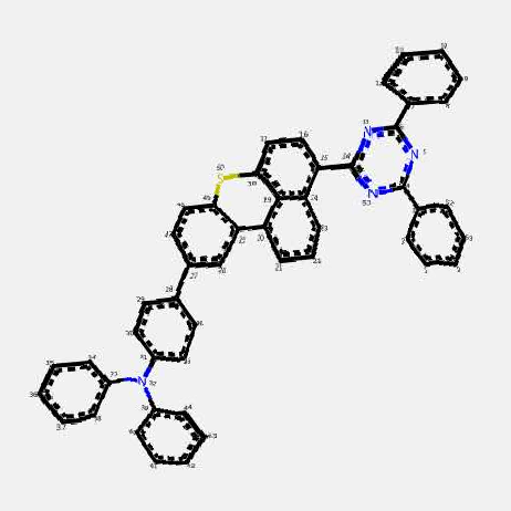 c1ccc(-c2nc(-c3ccccc3)nc(-c3ccc4c5c(cccc35)-c3cc(-c5ccc(N(c6ccccc6)c6ccccc6)cc5)ccc3S4)n2)cc1